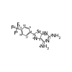 Nc1nc(N)c2nc(-c3ccc(C(F)(F)F)cc3)sc2n1